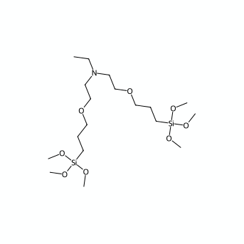 CCN(CCOCCC[Si](OC)(OC)OC)CCOCCC[Si](OC)(OC)OC